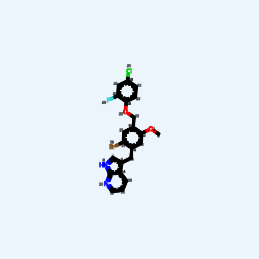 COc1cc(Cc2c[nH]c3ncccc23)c(Br)cc1COc1ccc(Cl)cc1F